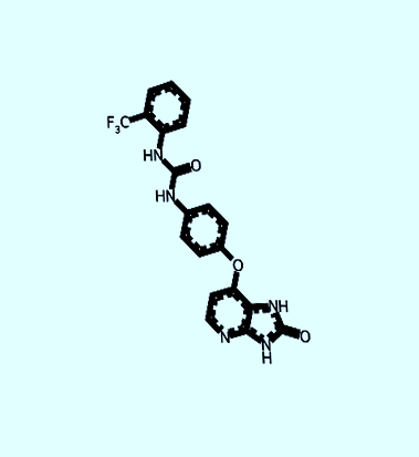 O=C(Nc1ccc(Oc2ccnc3[nH]c(=O)[nH]c23)cc1)Nc1ccccc1C(F)(F)F